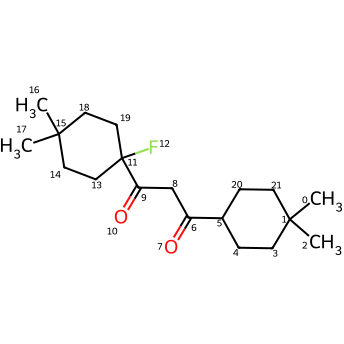 CC1(C)CCC(C(=O)CC(=O)C2(F)CCC(C)(C)CC2)CC1